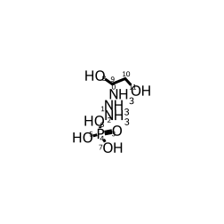 N.N.N.O=P(O)(O)O.OCCO